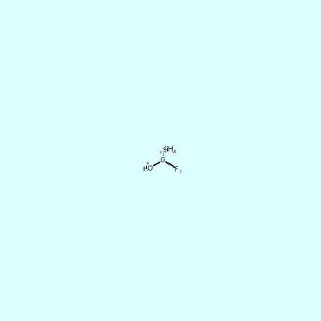 OOF.[SiH4]